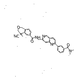 CN(C)C(=O)c1cccc(-c2ccc3cnc(CNC(=O)c4ccc5c(c4)[C@](C)(C#N)COC5)cc3n2)c1